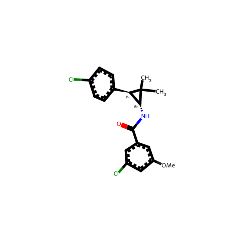 COc1cc(Cl)cc(C(=O)N[C@@H]2[C@@H](c3ccc(Cl)cc3)C2(C)C)c1